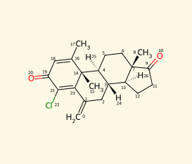 C=C1C[C@@H]2[C@H](CC[C@]3(C)C(=O)CC[C@@H]23)[C@@]2(C)C(C)=CC(=O)C(Cl)=C12